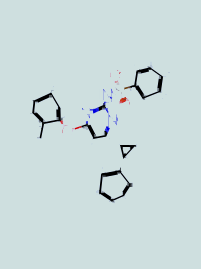 Cc1ccccc1Oc1cc([C@@H]2C[C@@H]2c2ccccc2)nc(NS(=O)(=O)c2ccccc2)n1